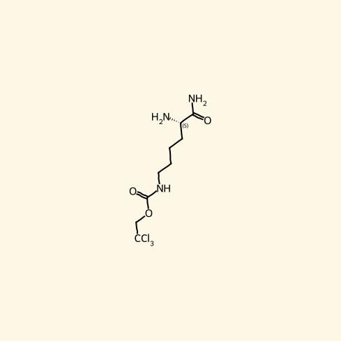 NC(=O)[C@@H](N)CCCCNC(=O)OCC(Cl)(Cl)Cl